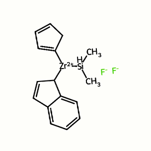 C[SiH](C)[Zr+2]([C]1=CC=CC1)[CH]1C=Cc2ccccc21.[F-].[F-]